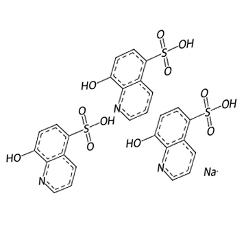 O=S(=O)(O)c1ccc(O)c2ncccc12.O=S(=O)(O)c1ccc(O)c2ncccc12.O=S(=O)(O)c1ccc(O)c2ncccc12.[Na]